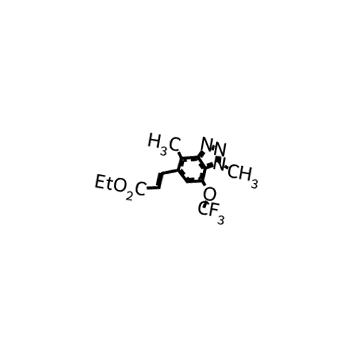 CCOC(=O)/C=C/c1cc(OC(F)(F)F)c2c(nnn2C)c1C